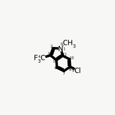 Cn1cc(C(F)(F)F)c2ccc(Cl)cc21